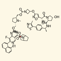 CCc1cccc2cccc(-c3ncc4c(N5CC6CCC(C5)N6C(=O)OC(C)(C)C)nc(OC[C@@H]5CC[C@@H](COC(=O)N6CC(Oc7cc([C@H](C(=O)N8C[C@H](O)C[C@H]8C(=O)N[C@@H](C)c8ccc(-c9scnc9C)cc8)C(C)C)on7)C6)N5C)nc4c3F)c12